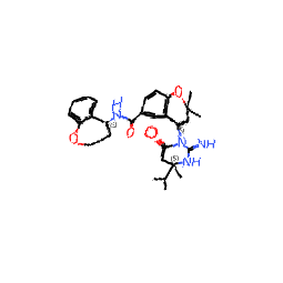 CC(C)[C@]1(C)CC(=O)N([C@@H]2CC(C)(C)Oc3ccc(C(=O)N[C@H]4CCOc5ccccc54)cc32)C(=N)N1